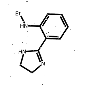 CCNc1ccccc1C1=NCCN1